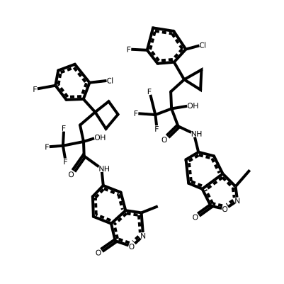 Cc1noc(=O)c2ccc(NC(=O)C(O)(CC3(c4cc(F)ccc4Cl)CC3)C(F)(F)F)cc12.Cc1noc(=O)c2ccc(NC(=O)C(O)(CC3(c4cc(F)ccc4Cl)CCC3)C(F)(F)F)cc12